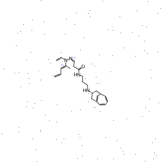 C=C/C=C(\C)N(C=C)/N=C\CC(=O)NCCCNC1CC2=CC(C=CC=C2)C1